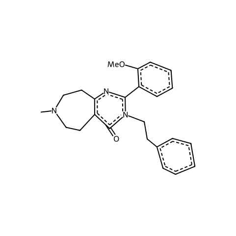 COc1ccccc1-c1nc2c(c(=O)n1CCc1ccccc1)CCN(C)CC2